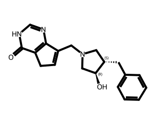 O=c1[nH]cnc2c1CC=C2CN1C[C@H](Cc2ccccc2)[C@@H](O)C1